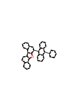 c1ccc(-c2c3ccccc3c(-c3cc4ccccc4c4c3oc3c5ccccc5ccc34)c3ccccc23)cc1